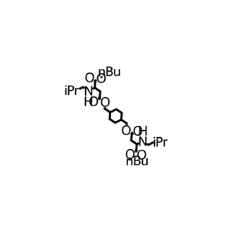 CCCCOC(=O)C(CC(=O)OCC1CCC(COC(=O)CC(NCC(C)C)C(=O)OCCCC)CC1)NCC(C)C